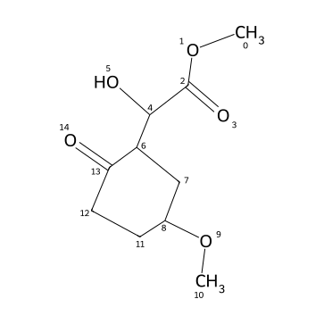 COC(=O)C(O)C1CC(OC)CCC1=O